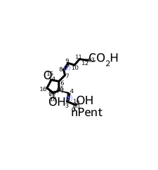 CCCCC[C@@H](O)/C=C/[C@@H]1C(C/C=C\CCCC(=O)O)C(=O)C[C@H]1O